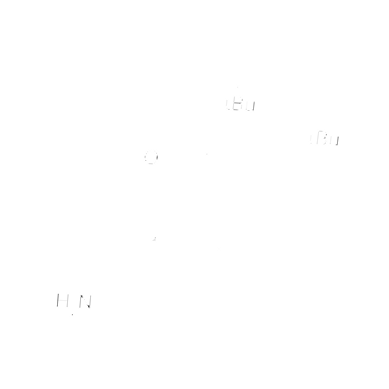 CC(C)(C)C/C(=C/CCN)C(=O)C(C)(C)C